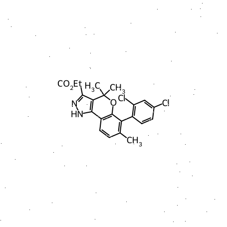 CCOC(=O)c1n[nH]c2c1C(C)(C)Oc1c-2ccc(C)c1-c1ccc(Cl)cc1Cl